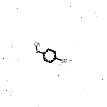 N#CSc1ccc(S(=O)(=O)O)cc1